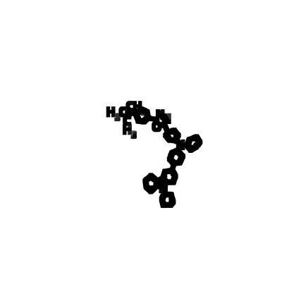 CC(C)(C)c1ccc(-c2nnc(-c3ccc(N(c4ccccc4)c4ccc(-c5ccc6c(c5)c5ccccc5n6-c5ccccc5)cc4)cc3)o2)cc1